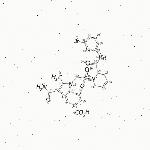 Cc1c(C(N)=O)c2cc(C(=O)O)ccc2n1CS(=O)(=O)N1CC=CCC1C(=O)Nc1cccc(Br)n1